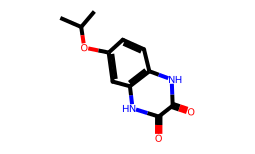 CC(C)Oc1ccc2[nH]c(=O)c(=O)[nH]c2c1